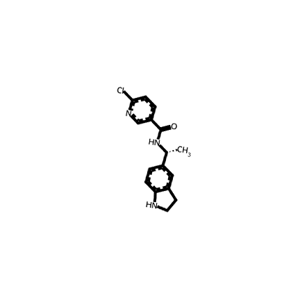 C[C@@H](NC(=O)c1ccc(Cl)nc1)c1ccc2c(c1)CCN2